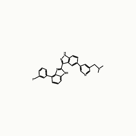 CN(C)Cc1cncc(-c2ccc3[nH]nc(-c4nc5c(-c6cccc(F)c6)cccc5[nH]4)c3c2)c1